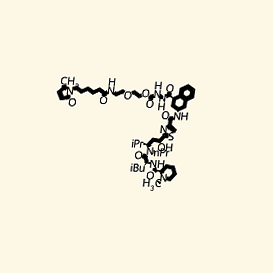 C=C1C=CC(=O)N1CCCCCC(=O)NCCOCCOC(=O)NNC(=O)[C@@H]1C[C@@H](NC(=O)c2csc([C@H](O)C[C@H](C(C)C)N(CCC)C(=O)[C@@H](NC(=O)[C@H]3CCCCN3C)[C@@H](C)CC)n2)Cc2ccccc21